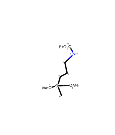 CCOC(=O)NCCC[Si](C)(OC)OC